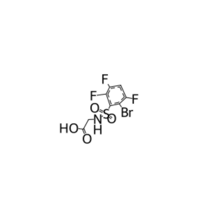 O=C(O)CNS(=O)(=O)c1c(F)c(F)cc(F)c1Br